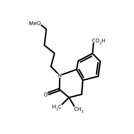 COCCCCN1C(=O)C(C)(C)Cc2ccc(C(=O)O)cc21